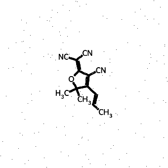 CC=CC1=C(C#N)C(=C(C#N)C#N)OC1(C)C